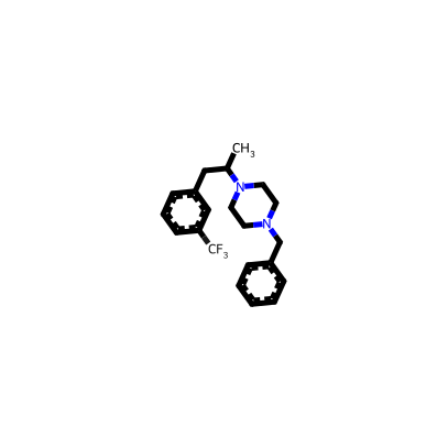 CC(Cc1cccc(C(F)(F)F)c1)N1CCN(Cc2ccccc2)CC1